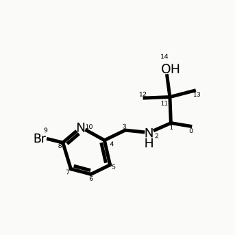 CC(NCc1cccc(Br)n1)C(C)(C)O